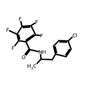 CC(Cc1ccc(Cl)cc1)NC(=O)c1c(F)c(F)c(F)c(F)c1F